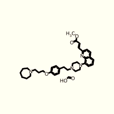 COC(=O)C=Cc1ccc2cccc(N3CCN(CCc4ccc(OCCCN5CCCCCC5)cc4)CC3)c2n1.O=CO